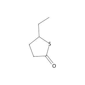 CCC1CCC(=O)S1